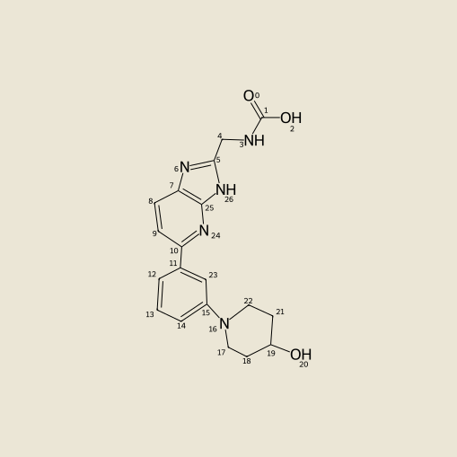 O=C(O)NCc1nc2ccc(-c3cccc(N4CCC(O)CC4)c3)nc2[nH]1